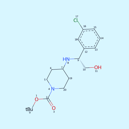 CC(C)(C)OC(=O)N1CCC(N[C@@H](CO)c2cccc(Cl)c2)CC1